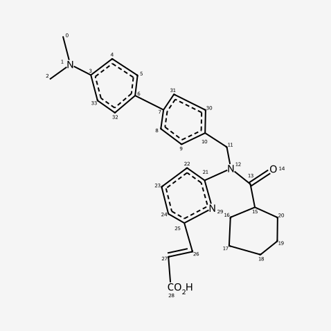 CN(C)c1ccc(-c2ccc(CN(C(=O)C3CCCCC3)c3cccc(C=CC(=O)O)n3)cc2)cc1